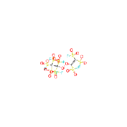 O=S(=O)(F)C(OOC(C(S(=O)(=O)F)(S(=O)(=O)F)S(=O)(=O)F)(S(=O)(=O)F)S(=O)(=O)F)=C(S(=O)(=O)F)S(=O)(=O)F